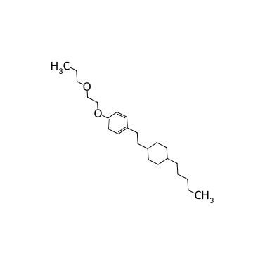 CCCCCC1CCC(CCc2ccc(OCCOCCC)cc2)CC1